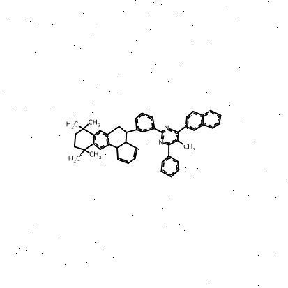 Cc1c(-c2ccccc2)nc(-c2cccc(C3Cc4cc5c(cc4C4C=CC=CC43)C(C)(C)CCC5(C)C)c2)nc1-c1ccc2ccccc2c1